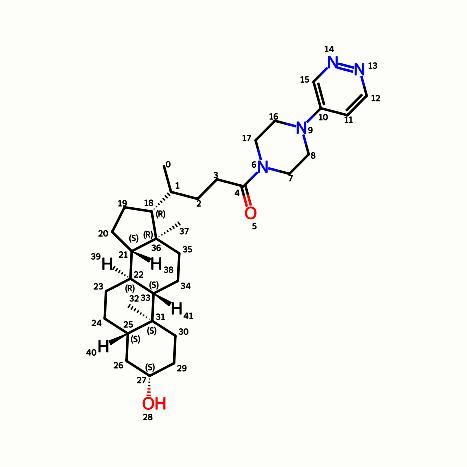 CC(CCC(=O)N1CCN(c2ccnnc2)CC1)[C@H]1CC[C@H]2[C@@H]3CC[C@H]4C[C@@H](O)CC[C@]4(C)[C@H]3CC[C@]12C